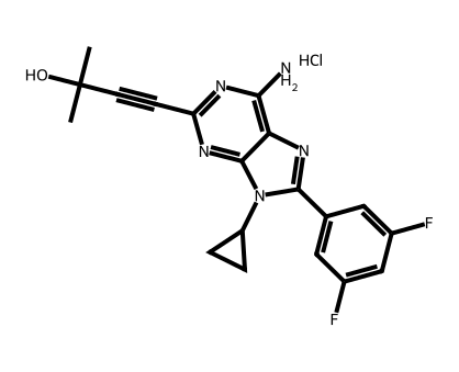 CC(C)(O)C#Cc1nc(N)c2nc(-c3cc(F)cc(F)c3)n(C3CC3)c2n1.Cl